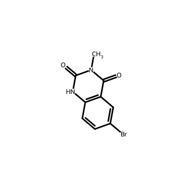 Cn1c(=O)[nH]c2ccc(Br)cc2c1=O